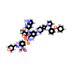 O=C(NS(=O)(=O)c1ccc(NCC2CCOCC2)c([N+](=O)[O-])c1)c1ccc(N2CCC3(CC2)CC(N2CCC[C@H]2c2ccccc2OC2CCCCC2)C3)cc1N1c2cc3cc[nH]c3nc2O[C@@H]2COC[C@H]21